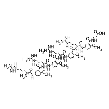 COc1ccc(NC(=O)[C@H](CCCNC(=N)N)NC(=O)c2cc(NC(=O)[C@H](CCCNC(=N)N)NC(=O)c3cc(NC(=O)[C@H](CCCNC(=N)N)NC(=O)c4cc(NC(=O)[C@@H](N)CCCCNC(=N)N)ccc4OC)ccc3OC)ccc2OC)cc1C(=O)NCCC(=O)O